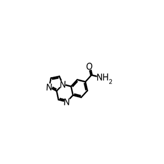 NC(=O)c1ccc2ncc3nccn3c2c1